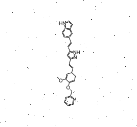 COC1=CC(/C=C/c2cc(/C=C/c3ccc4[nH]ccc4c3)[nH]n2)CC=C1OCc1ccccn1